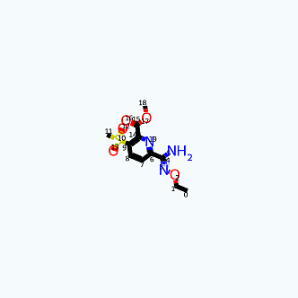 CCO/N=C(\N)c1ccc(S(C)(=O)=O)c(C(=O)OC)n1